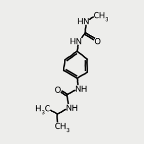 CNC(=O)Nc1ccc(NC(=O)NC(C)C)cc1